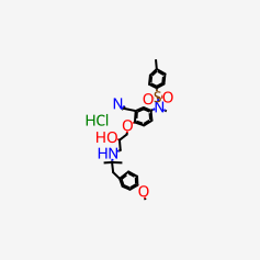 COc1ccc(CC(C)(C)NC[C@@H](O)COc2ccc(N(C)S(=O)(=O)c3ccc(C)cc3)cc2C#N)cc1.Cl